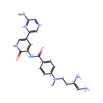 CNc1cncc(-c2c[nH]c(=O)c(NC(=O)c3ccc(N(C)CC/C(N)=C/N)cc3)c2)n1